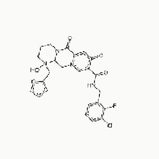 O=C(NCc1cccc(Cl)c1F)c1cn2c(cc1=O)C(=O)N1CCC[N+](O)(Cc3ccco3)C1C2